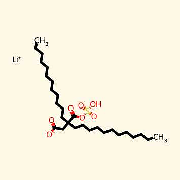 CCCCCCCCCCCCC(CCCCCCCCCCCC)(CC(=O)[O-])C(=O)OS(=O)(=O)O.[Li+]